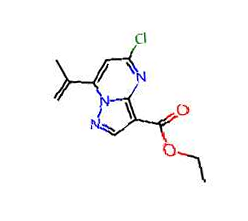 C=C(C)c1cc(Cl)nc2c(C(=O)OCC)cnn12